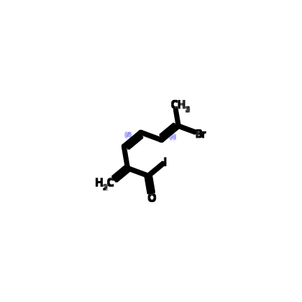 C=C(/C=C\C=C(/C)Br)C(=O)I